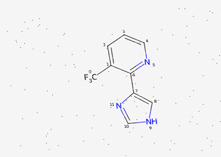 FC(F)(F)c1cccnc1-c1c[nH]cn1